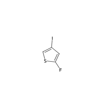 Fc1cc(I)cs1